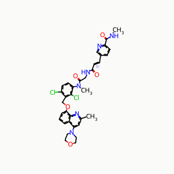 CNC(=O)c1ccc(/C=C/C(=O)NCC(=O)N(C)c2ccc(Cl)c(COc3cccc4c(N5CCOCC5)cc(C)nc34)c2Cl)cn1